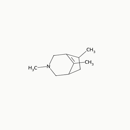 CC1=C2CN(C)CC1CC2C